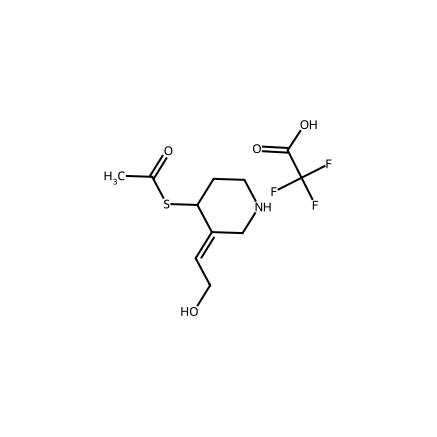 CC(=O)SC1CCNC/C1=C\CO.O=C(O)C(F)(F)F